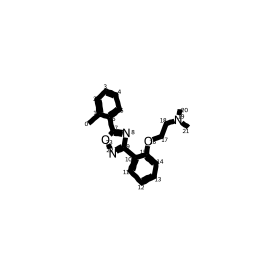 Cc1ccccc1-c1nc(-c2ccccc2OCCN(C)C)no1